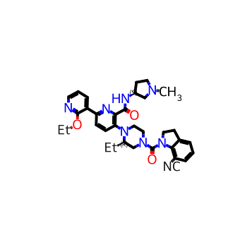 CCOc1ncccc1-c1ccc(N2CCN(C(=O)N3CCc4cccc(C#N)c43)C[C@H]2CC)c(C(=O)N[C@H]2CCN(C)C2)n1